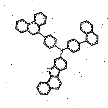 c1ccc2c(-c3ccc(N(c4ccc(-c5cc6ccccc6c6ccccc56)cc4)c4ccc5c(c4)oc4c6ccccc6ccc54)cc3)cccc2c1